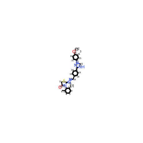 CCc1cccc(C)c1N1C(=O)CS/C1=N\N=C\c1ccc(C2=NN(c3ccc(OC(F)(F)F)cc3)CN2)cc1